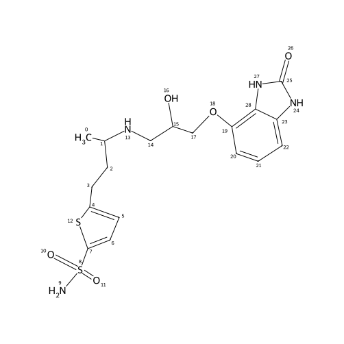 CC(CCc1ccc(S(N)(=O)=O)s1)NCC(O)COc1cccc2[nH]c(=O)[nH]c12